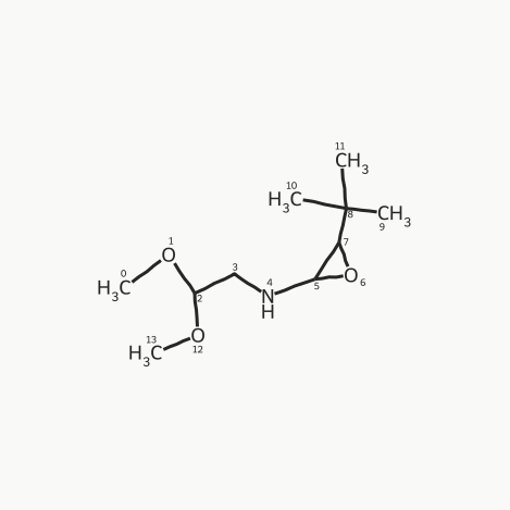 COC(CNC1OC1C(C)(C)C)OC